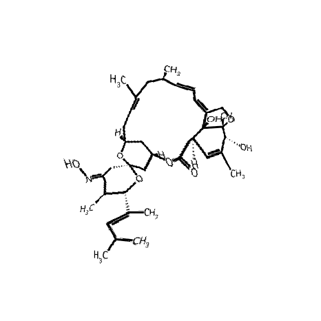 CC1=C[C@H]2C(=O)O[C@H]3C[C@@H](C/C=C(\C)C[C@@H](C)/C=C/C=C4\CO[C@](C)([C@@H]1O)[C@@]42O)O[C@@]1(C/C(=N\O)[C@H](C)[C@@H](/C(C)=C/C(C)C)O1)C3